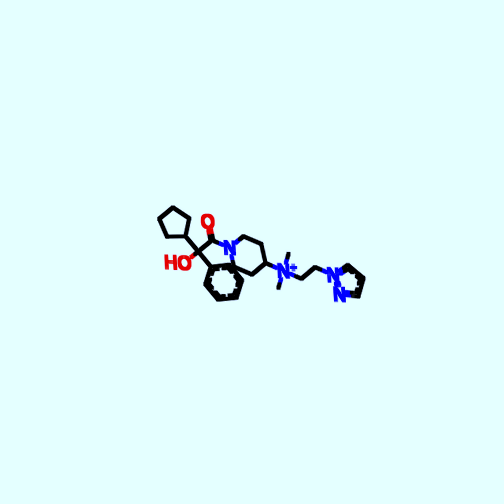 C[N+](C)(CCn1cccn1)C1CCN(C(=O)C(O)(c2ccccc2)C2CCCC2)CC1